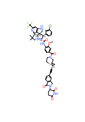 COc1cc(C(=O)N2CCC[C@@]3(C[C@H]3C#Cc3ccc4c(c3)CN(C3CCC(=O)NC3=O)C4=O)C2)ccc1NC(=O)[C@@H]1N[C@@H](CC(C)(C)C)[C@@]2(CNc3cc(C(F)(F)F)ncc32)[C@H]1c1cccc(Cl)c1F